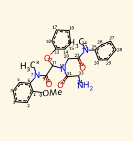 COc1ccccc1N(C)C(=O)C(Oc1ccccc1)N(CC(=O)N(C)c1ccccc1)C(=O)CN